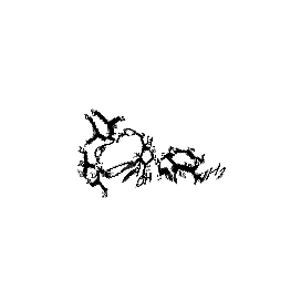 CC(C)[Si]1(C(C)C)OC[C@@H]2O[C@H](n3cnc4c(N)ncnc43)C(O)[C@@H]2O[Si](C(C)C)(C(C)C)O1